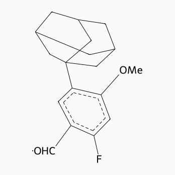 COc1cc(F)c([C]=O)cc1C12CC3CC(CC(C3)C1)C2